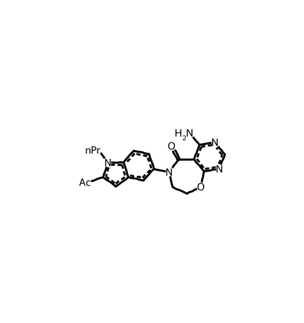 CCCn1c(C(C)=O)cc2cc(N3CCOc4ncnc(N)c4C3=O)ccc21